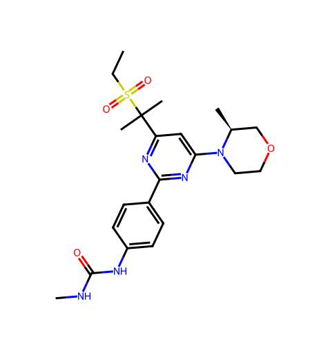 CCS(=O)(=O)C(C)(C)c1cc(N2CCOC[C@@H]2C)nc(-c2ccc(NC(=O)NC)cc2)n1